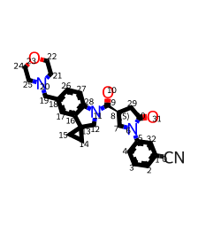 N#Cc1cccc(N2C[C@@H](C(=O)N3CC4(CC4)c4cc(CN5CCOCC5)ccc43)CC2=O)c1